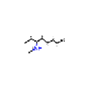 [CH2]CCCCC(CC)NC